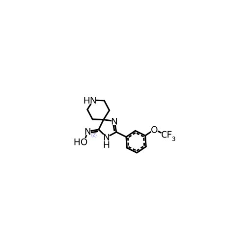 O/N=C1\NC(c2cccc(OC(F)(F)F)c2)=NC12CCNCC2